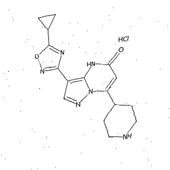 Cl.O=c1cc(C2CCNCC2)n2ncc(-c3noc(C4CC4)n3)c2[nH]1